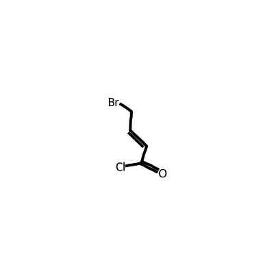 O=C(Cl)C=CCBr